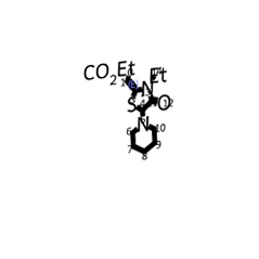 CCOC(=O)/C=C1/SC(N2CCCCC2)C(=O)N1CC